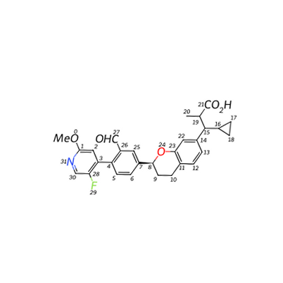 COc1cc(-c2ccc([C@@H]3CCc4ccc(C(C5CC5)C(C)C(=O)O)cc4O3)cc2C=O)c(F)cn1